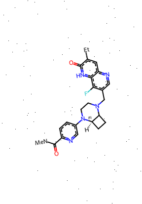 CCc1cc2ncc(CN3CCN(c4ccc(C(=O)NC)nc4)[C@@H]4CCC43)c(F)c2[nH]c1=O